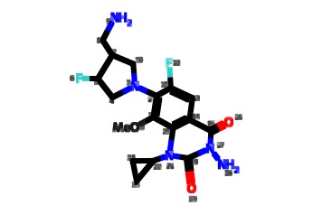 COc1c(N2CC(F)C(CN)C2)c(F)cc2c(=O)n(N)c(=O)n(C3CC3)c12